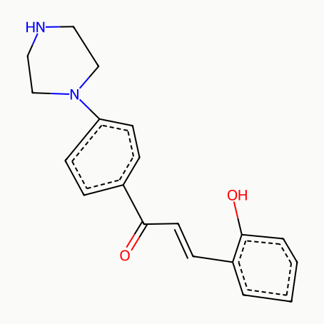 O=C(C=Cc1ccccc1O)c1ccc(N2CCNCC2)cc1